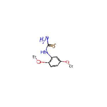 CCOc1ccc(OCC)c(NC(N)=S)c1